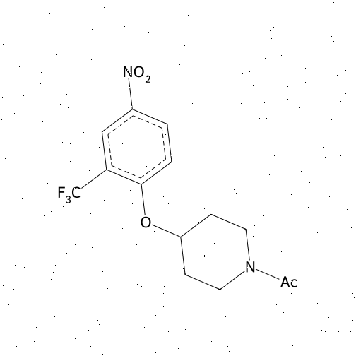 CC(=O)N1CCC(Oc2ccc([N+](=O)[O-])cc2C(F)(F)F)CC1